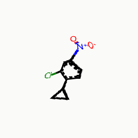 O=[N+]([O-])c1ccc(C2CC2)c(Cl)c1